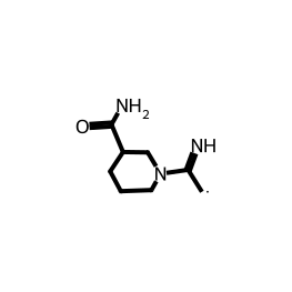 [CH2]C(=N)N1CCCC(C(N)=O)C1